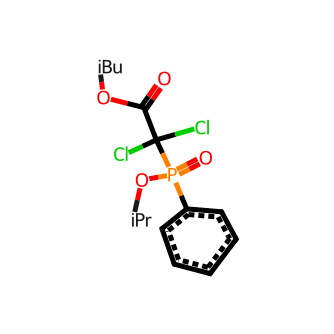 CCC(C)OC(=O)C(Cl)(Cl)P(=O)(OC(C)C)c1ccccc1